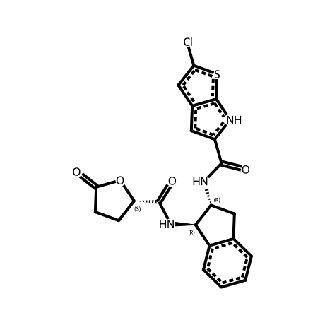 O=C1CC[C@@H](C(=O)N[C@@H]2c3ccccc3C[C@H]2NC(=O)c2cc3cc(Cl)sc3[nH]2)O1